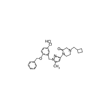 Cc1cc(N2CCN(CC3CCC3)CC2=O)nn1Cc1cc(Cl)ccc1OCc1ccccc1.Cl